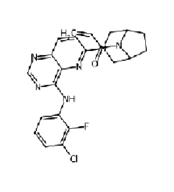 C=CC(=O)N1C2CCC1CN(c1ccc3ncnc(Nc4cccc(Cl)c4F)c3n1)C2